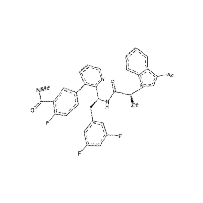 CC[C@@H](C(=O)N[C@@H](Cc1cc(F)cc(F)c1)c1ncccc1-c1ccc(F)c(C(=O)NC)c1)n1cc(C(C)=O)c2ccccc21